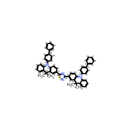 CC1(C)c2ccccc2N(c2ccc(-c3ccccc3)cc2)c2ccc(-c3nsc(-c4ccc5c(c4)C(C)(C)c4ccccc4N5c4ccc(-c5ccccc5)cc4)n3)cc21